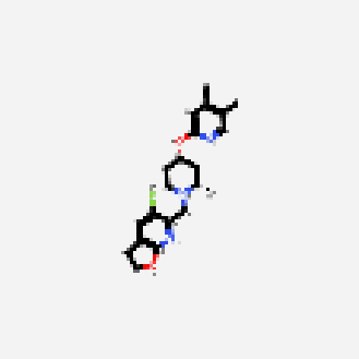 Cc1cnc(O[C@H]2CCN(Cc3nc4c(cc3F)CCO4)[C@@H](C)C2)cc1C